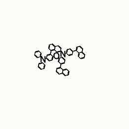 c1ccc(N(c2ccccc2)c2ccc3c(c2)-c2cccc4ccc(N(c5ccc(-c6cccc7ccccc67)cc5)c5ccc(-c6cccc7ccccc67)cc5)c(c24)O3)cc1